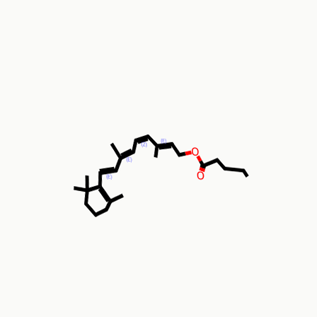 CCCCC(=O)OC/C=C(C)/C=C\C=C(C)\C=C\C1=C(C)CCCC1(C)C